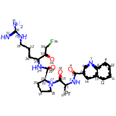 CC(C)C(NC(=O)c1cnc2ccccc2c1)C(=O)N1CCC[C@H]1C(=O)NC(CCCNC(=N)N)C(=O)CF